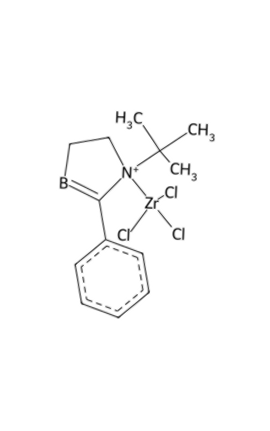 CC(C)(C)[N+]1([Zr]([Cl])([Cl])[Cl])CCB=C1c1ccccc1